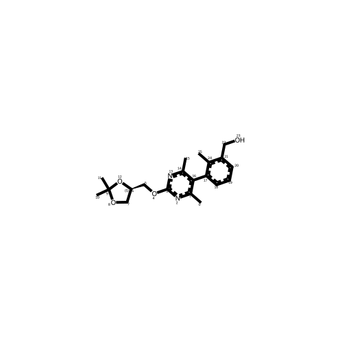 Cc1nc(OC[C@H]2COC(C)(C)O2)nc(C)c1-c1cccc(CO)c1C